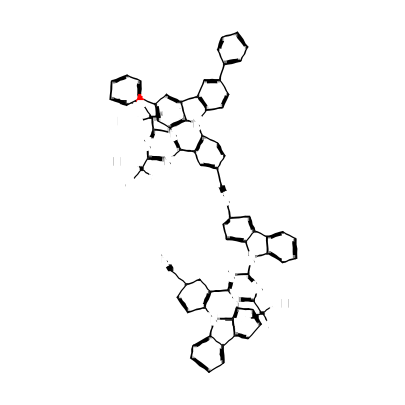 CC(C)(C)c1nc(C2=C(n3c4ccccc4c4ccccc43)C=CC(C#N)C2)nc(-n2c3ccccc3c3cc([N+]#Cc4ccc(-n5c6ccc(-c7ccccc7)cc6c6cc(-c7ccccc7)ccc65)c(-c5nc(C(C)(C)C)nc(C(C)(C)C)n5)c4)ccc32)n1